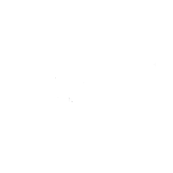 Oc1ccc(C2=NOC(Cc3ccccc3)(c3ccccc3)C2)cc1